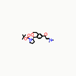 CN(C)C=CC(=O)c1ccc2c(c1)CCO[C@@H]2C1CCCN1C(=O)OC(C)(C)C